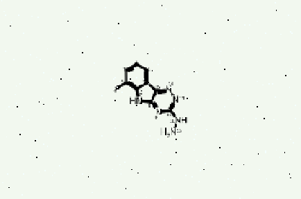 Cc1cccc2c1[nH]c1nc(NN)nnc12